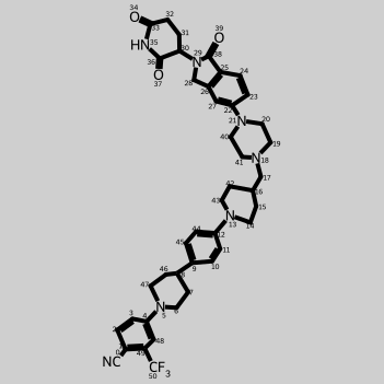 N#Cc1ccc(N2CCC(c3ccc(N4CCC(CN5CCN(c6ccc7c(c6)CN(C6CCC(=O)NC6=O)C7=O)CC5)CC4)cc3)CC2)cc1C(F)(F)F